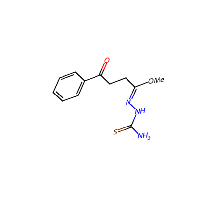 COC(CCC(=O)c1ccccc1)=NNC(N)=S